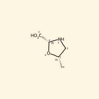 C[C@H]1CN[C@@H](C(=O)O)O1